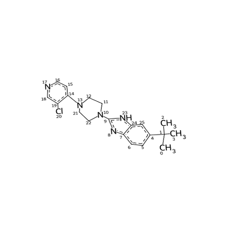 CC(C)(C)c1ccc2nc(N3CCN(c4ccncc4Cl)CC3)[nH]c2c1